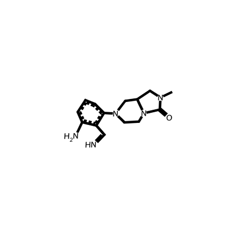 CN1CC2CN(c3cccc(N)c3C=N)CCN2C1=O